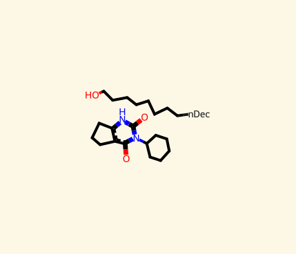 CCCCCCCCCCCCCCCCCCO.O=c1[nH]c2c(c(=O)n1C1CCCCC1)CCC2